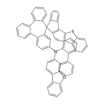 c1ccc(-c2ccccc2N(c2ccc3c(c2)C2(c4ccccc4-c4ccccc4-3)c3ccccc3-c3c2ccc2c3sc3ccccc32)c2ccc3c(c2)oc2ccccc23)cc1